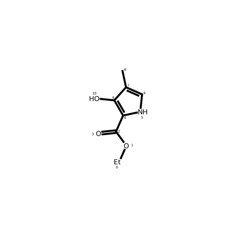 CCOC(=O)c1[nH]cc(C)c1O